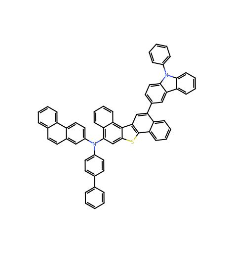 c1ccc(-c2ccc(N(c3ccc4c(ccc5ccccc54)c3)c3cc4sc5c6ccccc6c(-c6ccc7c(c6)c6ccccc6n7-c6ccccc6)cc5c4c4ccccc34)cc2)cc1